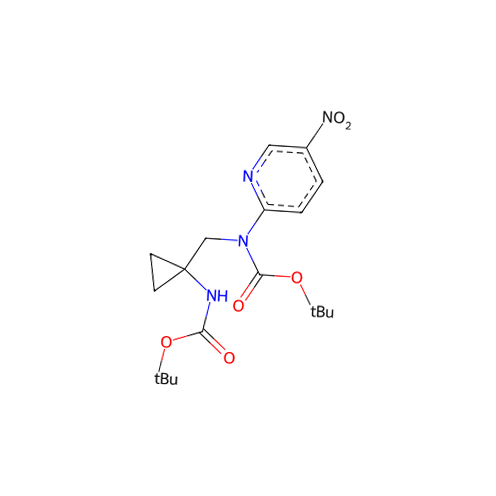 CC(C)(C)OC(=O)NC1(CN(C(=O)OC(C)(C)C)c2ccc([N+](=O)[O-])cn2)CC1